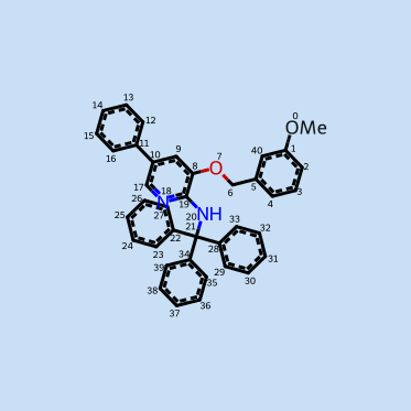 COc1cccc(COc2cc(-c3ccccc3)cnc2NC(c2ccccc2)(c2ccccc2)c2ccccc2)c1